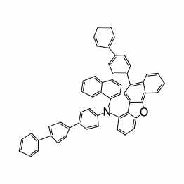 c1ccc(-c2ccc(-c3ccc(N(c4cccc5ccccc45)c4cccc5oc6c7ccccc7c(-c7ccc(-c8ccccc8)cc7)cc6c45)cc3)cc2)cc1